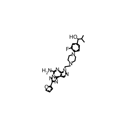 CC(C)C(O)c1ccc(N2CCN(CCn3ncc4c3nc(N)n3nc(-c5ccco5)nc43)CC2)c(F)c1